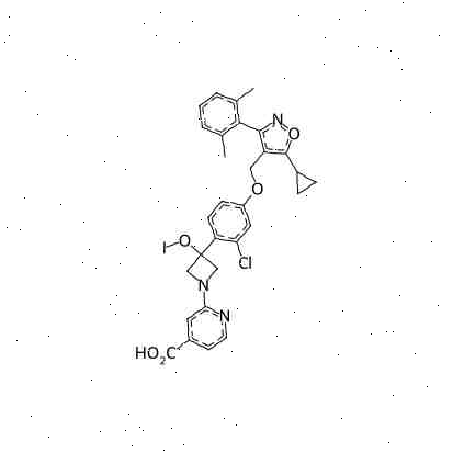 Cc1cccc(C)c1-c1noc(C2CC2)c1COc1ccc(C2(OI)CN(c3cc(C(=O)O)ccn3)C2)c(Cl)c1